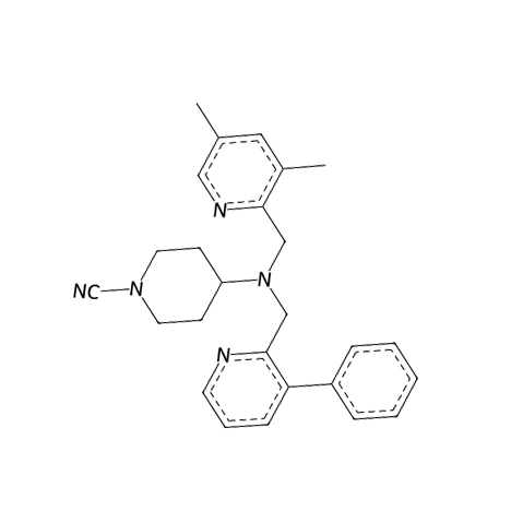 Cc1cnc(CN(Cc2ncccc2-c2ccccc2)C2CCN(C#N)CC2)c(C)c1